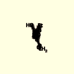 C=CC(=O)OCCCCCCOc1ccc(C(=O)Oc2ccc(OC(=O)C3CCC(CC)CC3)cc2C(=NNCCCCCCO)c2nc3ccccc3s2)cc1